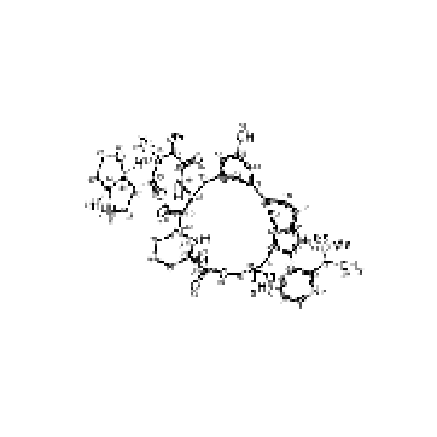 CCn1c(-c2cccnc2[C@H](C)OC)c2c3cc(ccc31)-c1cc(O)cc(c1)C[C@H](NC(=O)[C@H](C(C)C)N(C)C(=O)[C@@H]1CN[C@H]3CCO[C@H]31)C(=O)N1CCC[C@H](N1)C(=O)OCC(C)(C)C2